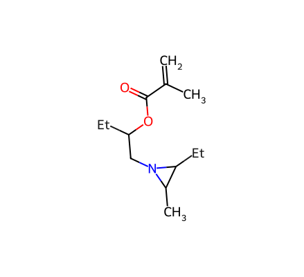 C=C(C)C(=O)OC(CC)CN1C(C)C1CC